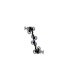 CC1(C)NC(=O)N(CCCOC(=O)/C=C/C(=O)OCCCN2C(=O)NC(C)(C)C2=O)C1=O